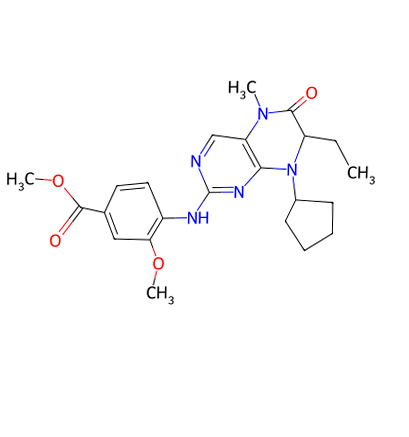 CCC1C(=O)N(C)c2cnc(Nc3ccc(C(=O)OC)cc3OC)nc2N1C1CCCC1